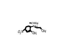 COC.O=[N+]([O-])c1ccc(NCCO)c(O)c1